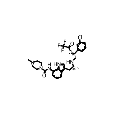 C[C@H](Cc1c[nH]c2c(NC(=O)N3CCN(C)CC3)cccc12)NC[C@H](OC(=O)C(F)(F)F)c1cccc(Cl)c1